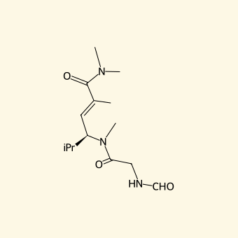 C/C(=C\[C@H](C(C)C)N(C)C(=O)CNC=O)C(=O)N(C)C